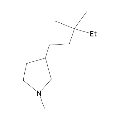 CCC(C)(C)CCC1CCN(C)C1